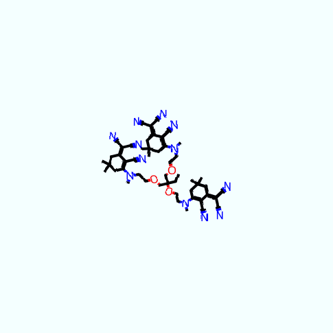 CCC(COCCN(C)C1=C(C#N)C(=C(C#N)C#N)CC(C)(C)C1)(COCCN(C)C1=C(C#N)C(=C(C#N)C#N)CC(C)(C)C1)OCCN(C)C1=C(C#N)C(=C(C#N)C#N)CC(C)(C)C1